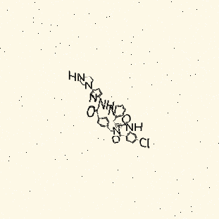 O=C(Nc1ccc(N2CCNCC2)cn1)c1ccc(CN2C(=O)c3ccc(Cl)cc3NC(=O)[C@H]2Cc2ccccn2)cc1